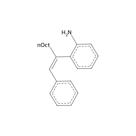 CCCCCCCCC(=Cc1ccccc1)c1ccccc1N